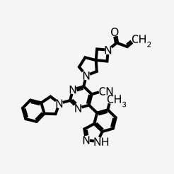 C=CC(=O)N1CC2(CCN(c3nc(N4Cc5ccccc5C4)nc(-c4c(C)ccc5[nH]ncc45)c3C#N)C2)C1